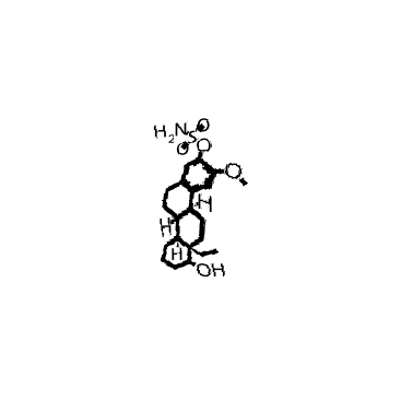 CC[C@]12CC[C@@H]3c4cc(OC)c(OS(N)(=O)=O)cc4CC[C@H]3[C@@H]1CCCC2O